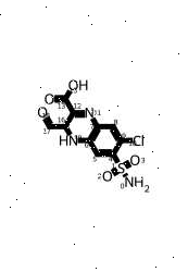 NS(=O)(=O)c1cc2c(cc1Cl)N=C(C(=O)O)C(C=O)N2